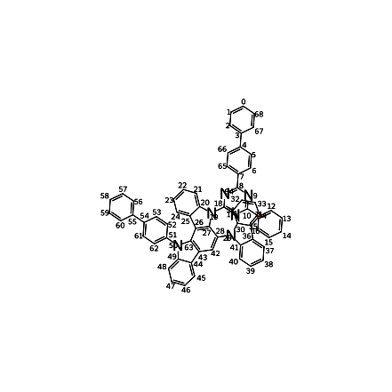 c1ccc(-c2ccc(-c3nc(-c4ccccc4)nc(-n4c5ccccc5c5c4c(-n4c6ccccc6c6ccccc64)cc4c6ccccc6n(-c6ccc(-c7ccccc7)cc6)c45)n3)cc2)cc1